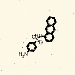 Nc1ccc(S(=O)(=O)Nc2cccc3cc4ccccc4cc23)cc1